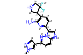 Cn1cc(-c2ccc3ncc(-c4ccc(C5CNCC5(F)F)c(N)n4)n3n2)cn1